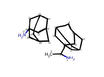 CC(N)C12CC3CC(CC(C3)C1)C2.NC12CC3CC(CC(C3)C1)C2